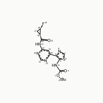 CC(C)(C)OC(=O)Nc1scnc1-c1cc(NC(=O)[C@H]2C[C@H]2F)ncn1